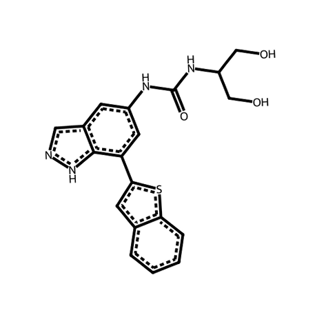 O=C(Nc1cc(-c2cc3ccccc3s2)c2[nH]ncc2c1)NC(CO)CO